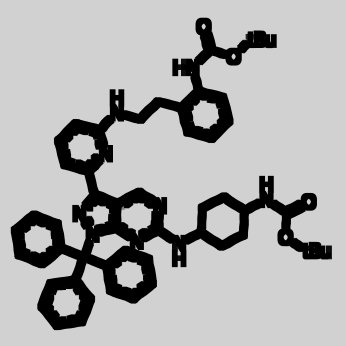 CC(C)(C)OC(=O)Nc1ccccc1CCNc1cccc(-c2nn(C(c3ccccc3)(c3ccccc3)c3ccccc3)c3nc(NC4CCC(NC(=O)OC(C)(C)C)CC4)ncc23)n1